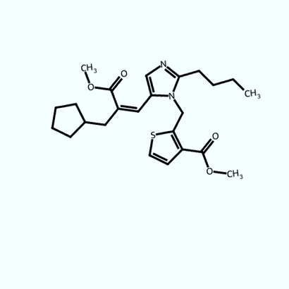 CCCCc1ncc(C=C(CC2CCCC2)C(=O)OC)n1Cc1sccc1C(=O)OC